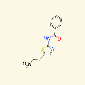 O=C(Nc1ncc(CC[N+](=O)[O-])s1)c1ccccc1